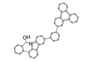 OC1c2ccccc2-c2cccc3c4cc(-c5cccc(-c6ccc7c8ccccc8c8ccccc8c7c6)c5)ccc4n1c23